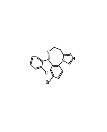 Clc1ccccc1C1=NCCc2nncn2-c2ccc(Br)cc21